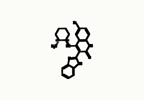 N[C@@H]1CCCC[C@H]1Nc1c(-c2nc3ccccc3[nH]2)c(=O)[nH]c2ccc(Br)cc12